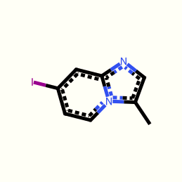 Cc1cnc2cc(I)ccn12